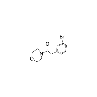 O=C(Cc1cccc(Br)c1)N1CCOCC1